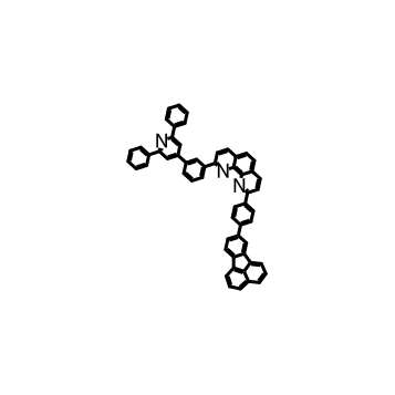 c1ccc(-c2cc(-c3cccc(-c4ccc5ccc6ccc(-c7ccc(-c8ccc9c(c8)-c8cccc%10cccc-9c8%10)cc7)nc6c5n4)c3)cc(-c3ccccc3)n2)cc1